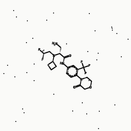 NC[C@H](C(=O)Nc1ccc(N2CCOCC2=O)c(C(F)(F)F)c1)N(CC(F)F)C1CCC1